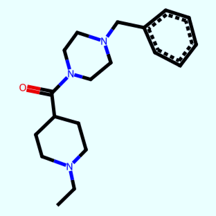 CCN1CCC(C(=O)N2CCN(Cc3ccccc3)CC2)CC1